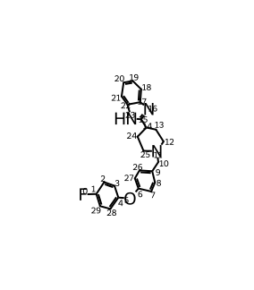 Fc1ccc(Oc2ccc(CN3CCC(c4nc5ccccc5[nH]4)CC3)cc2)cc1